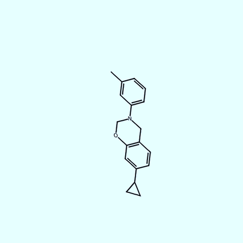 Cc1cccc(N2COc3cc(C4CC4)ccc3C2)c1